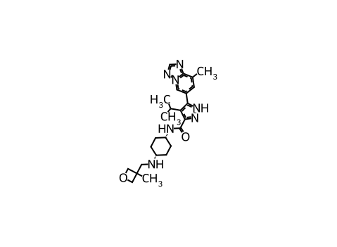 Cc1cc(-c2[nH]nc(C(=O)N[C@H]3CC[C@@H](NCC4(C)COC4)CC3)c2C(C)C)cn2ncnc12